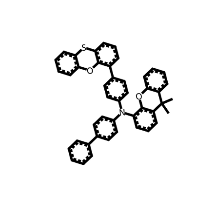 CC1(C)c2ccccc2Oc2c(N(c3ccc(-c4ccccc4)cc3)c3ccc(-c4cccc5c4Oc4ccccc4S5)cc3)cccc21